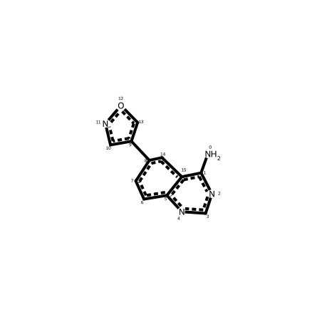 Nc1ncnc2ccc(-c3cnoc3)cc12